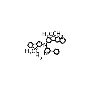 CC1(C)c2ccccc2-c2ccc(N(c3cncc(-c4ccccc4)c3)c3ccc4c(c3)-c3cc5ccccc5cc3C4(C)C)cc21